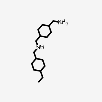 CCC1CCC(CNCC2CCC(CN)CC2)CC1